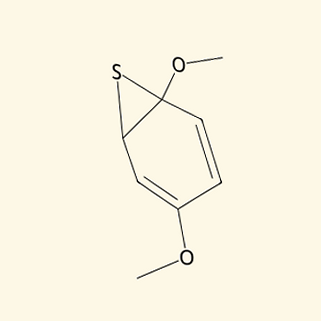 COC1=CC2SC2(OC)C=C1